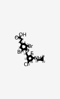 O=C(O)CCc1cc(Br)c(OCc2cc(Cl)cc(NCC3CC3)c2F)c(Br)c1